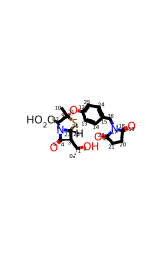 C[C@@H](O)[C@H]1C(=O)N2C(C(=O)O)C(C)(Oc3ccc(CN4C(=O)CCC4=O)cc3)S[C@H]12